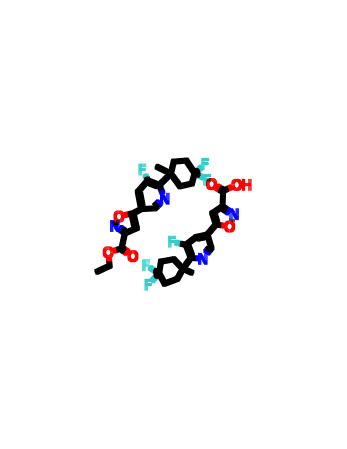 CC1(c2ncc(-c3cc(C(=O)O)no3)cc2F)CCC(F)(F)CC1.CCOC(=O)c1cc(-c2cnc(C3(C)CCC(F)(F)CC3)c(F)c2)on1